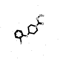 CC(C)(C)OC(=O)N1CCC(Sc2ccccc2F)CC1